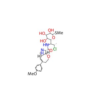 COc1ccc(C2=C[C@H]3CN[C@H](C(=O)N[C@@H]([C@H]4OC(SC)[C@H](O)C(O)[C@@H]4O)[C@H](C)Cl)[C@@H]3OCC2)cc1